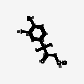 CCc1ccc(C(C)(C)C(=O)CC=O)cc1I